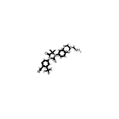 CC1(C)C(=O)N(c2ccc(C#N)c(C(F)(F)F)c2)C(=S)N1c1ccc2c(c1)SC[C@@H](CN)O2